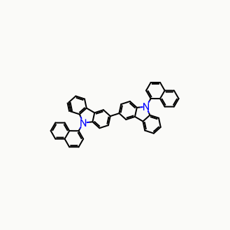 c1ccc2c3cc(-c4ccc5c(c4)c4ccccc4n5-c4cccc5ccccc45)ccc3n(-c3cccc4ccccc34)c2c#1